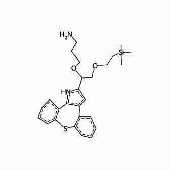 C[Si](C)(C)CCOCC(OCCCN)c1cc2c([nH]1)-c1ccccc1Sc1ccccc1-2